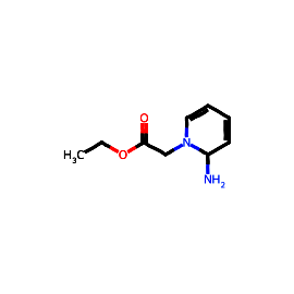 CCOC(=O)CN1C=CC=CC1N